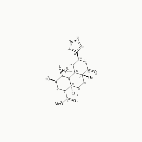 COC(=O)[C@@H]1C[C@@H](O)C(=O)C2[C@@]1(C)CC[C@H]1C(=O)O[C@H](c3ccoc3)C[C@]21C